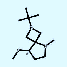 CO[C@@H]1CCN(C)C12CN(C(C)(C)C)C2